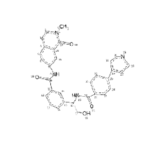 Cn1ccc2ccc(NC(=O)c3cccc([C@@H](CO)NC(=O)c4ccc(-c5ccncc5)cc4)c3)cc2c1=O